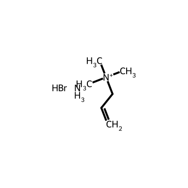 Br.C=CC[N+](C)(C)C.N